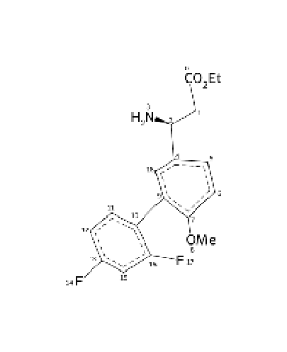 CCOC(=O)C[C@H](N)c1ccc(OC)c(-c2ccc(F)cc2F)c1